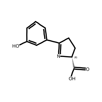 O=C(O)[C@H]1CCC(c2cccc(O)c2)=N1